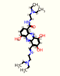 CCN(CC)CCN=Cc1c(O)cc(O)c2nc3c(C(=O)NCCN(CC)CC)ccc(O)c3nc12